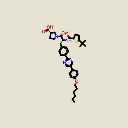 CCCCCCOc1ccc(-c2cnc(-c3ccc(C[C@H](NC(=O)C4CC=C(C(C)(C)C)S4)C(=O)N4CC[C@H](C(=O)O)C4)cc3)nc2)cc1